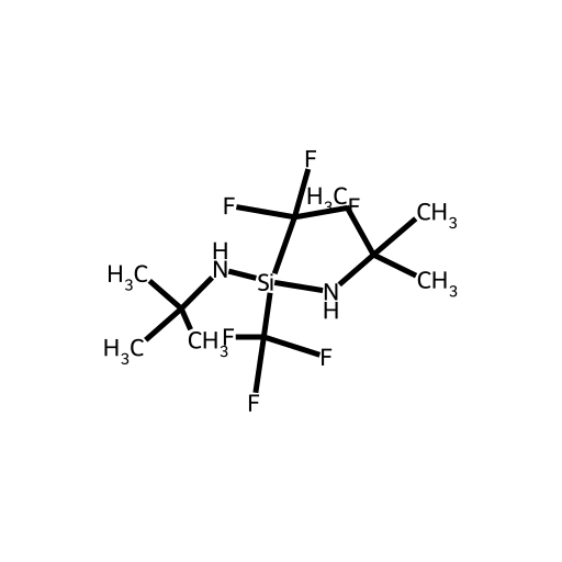 CC(C)(C)N[Si](NC(C)(C)C)(C(F)(F)F)C(F)(F)F